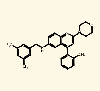 Cc1ccccc1-c1cc(N2CCOCC2)nc2ccc(NCc3cc(C(F)(F)F)cc(C(F)(F)F)c3)cc12